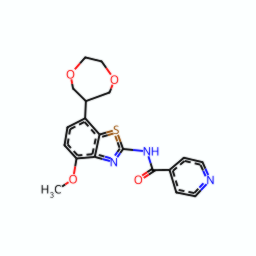 COc1ccc(C2COCCOC2)c2sc(NC(=O)c3ccncc3)nc12